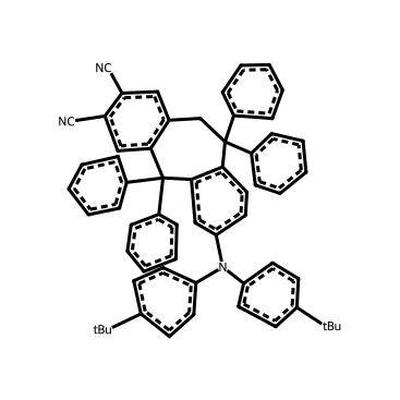 CC(C)(C)c1ccc(N(c2ccc(C(C)(C)C)cc2)c2ccc3c(c2)C(c2ccccc2)(c2ccccc2)c2cc(C#N)c(C#N)cc2CC3(c2ccccc2)c2ccccc2)cc1